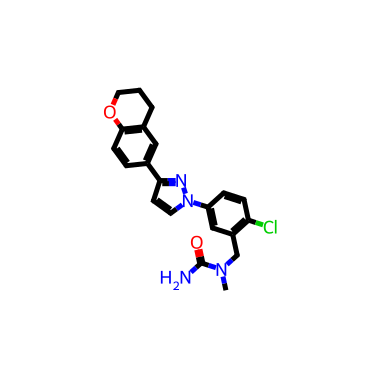 CN(Cc1cc(-n2ccc(-c3ccc4c(c3)CCCO4)n2)ccc1Cl)C(N)=O